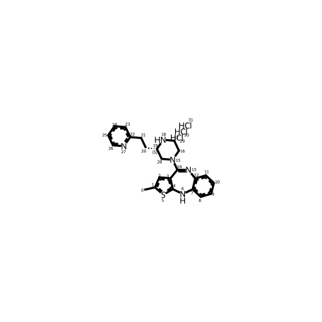 Cc1cc2c(s1)Nc1ccccc1N=C2N1CCN[C@@H](CCc2ccccn2)C1.Cl.Cl.Cl